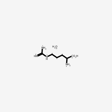 N=C(N)NCCCC(N)C(=O)O.O